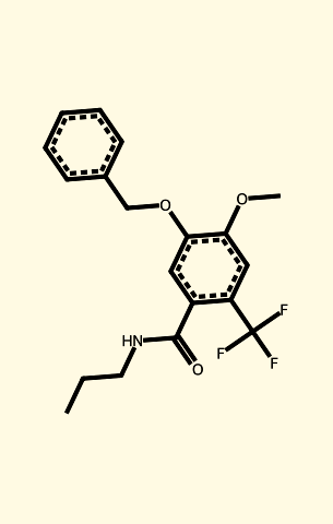 CCCNC(=O)c1cc(OCc2ccccc2)c(OC)cc1C(F)(F)F